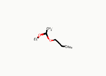 [CH2]C(OCC)OCCOC